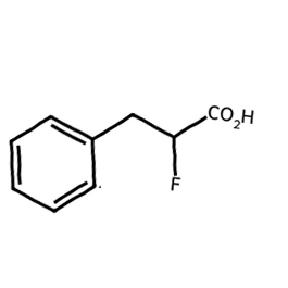 O=C(O)C(F)Cc1[c]cccc1